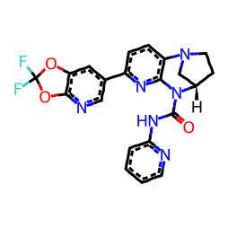 O=C(Nc1ccccn1)N1c2nc(-c3cnc4c(c3)OC(F)(F)O4)ccc2N2CC[C@H]1C2